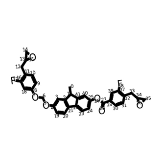 CC1c2cc(OCOc3ccc(CC4CO4)c(F)c3)ccc2-c2ccc(OC(=O)c3ccc(CC4CO4)c(F)c3)cc21